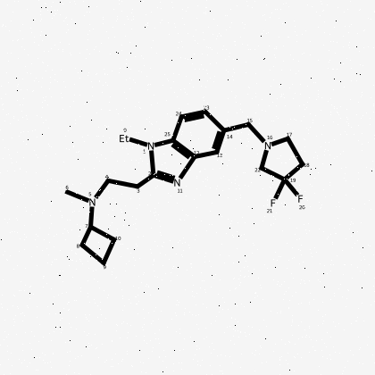 CCn1c(CCN(C)C2CCC2)nc2cc(CN3CCC(F)(F)C3)ccc21